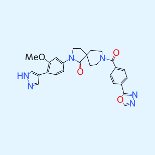 COc1cc(N2CCC3(CCN(C(=O)c4ccc(-c5nnco5)cc4)CC3)C2=O)ccc1-c1cn[nH]c1